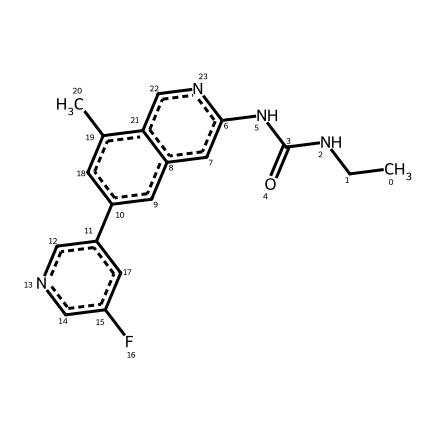 CCNC(=O)Nc1cc2cc(-c3cncc(F)c3)cc(C)c2cn1